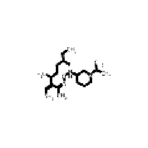 CCC(F)CCC(C)C(=C/N)/C(C)=N\ONC1CCCN(C(C)C)C1